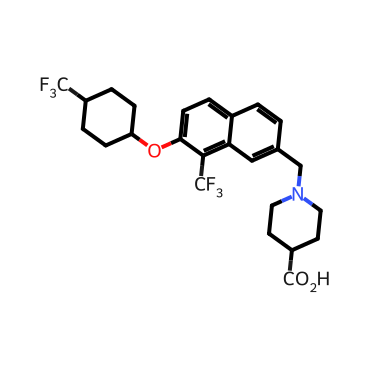 O=C(O)C1CCN(Cc2ccc3ccc(OC4CCC(C(F)(F)F)CC4)c(C(F)(F)F)c3c2)CC1